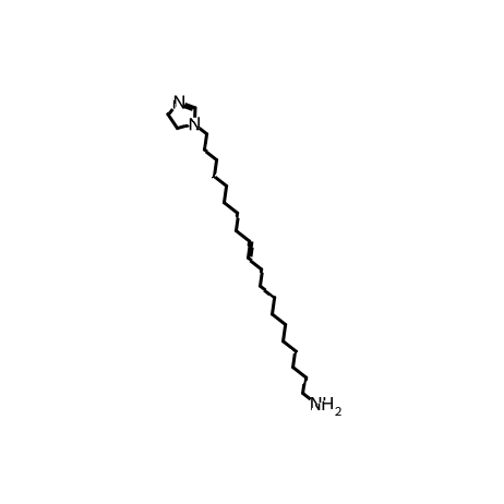 NCCCCCCCCCCC=CCCCCCCCCN1C=NCC1